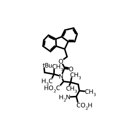 CC(CC(C)(C)C(C(=O)O)N(C(=O)OCC1c2ccccc2-c2ccccc21)C(C)(C)CC(C)(C)C)C(N)C(=O)O